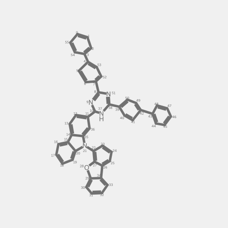 c1ccc(-c2ccc(C3=NC(c4ccc5c6ccccc6n(-c6cccc7c6oc6ccccc67)c5c4)NC(c4ccc(-c5ccccc5)cc4)=N3)cc2)cc1